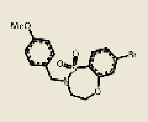 COc1ccc(CN2CCOc3cc(Br)ccc3S2(=O)=O)cc1